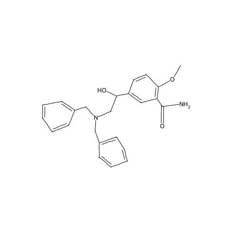 COc1ccc(C(O)CN(Cc2ccccc2)Cc2ccccc2)cc1C(N)=O